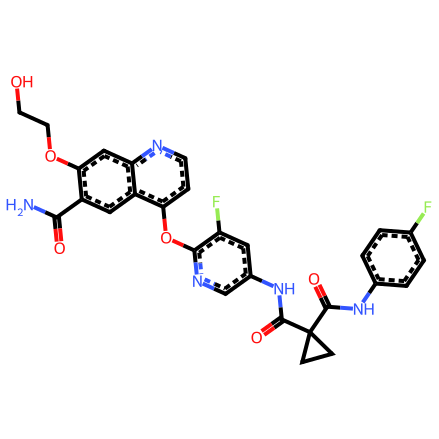 NC(=O)c1cc2c(Oc3ncc(NC(=O)C4(C(=O)Nc5ccc(F)cc5)CC4)cc3F)ccnc2cc1OCCO